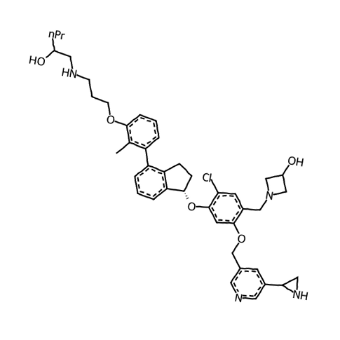 CCCC(O)CNCCCOc1cccc(-c2cccc3c2CC[C@@H]3Oc2cc(OCc3cncc(C4CN4)c3)c(CN3CC(O)C3)cc2Cl)c1C